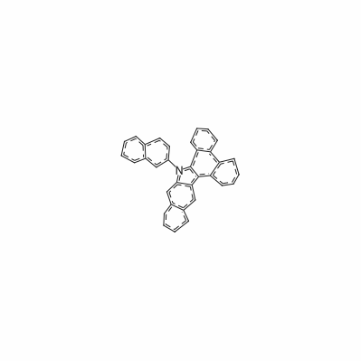 c1ccc2cc(-n3c4cc5ccccc5cc4c4c5ccccc5c5ccccc5c43)ccc2c1